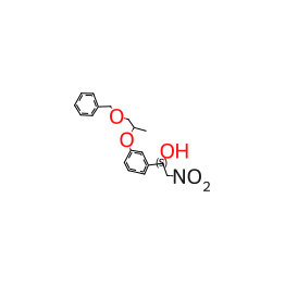 CC(COCc1ccccc1)Oc1cccc([C@H](O)C[N+](=O)[O-])c1